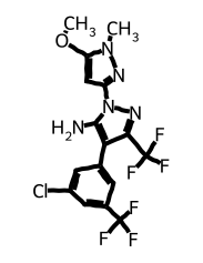 COc1cc(-n2nc(C(F)(F)F)c(-c3cc(Cl)cc(C(F)(F)F)c3)c2N)nn1C